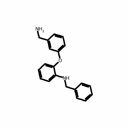 NCc1cccc(Oc2ccccc2NCc2ccccc2)c1